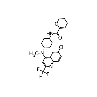 CN(c1cc(C(F)(F)F)nc2ccc(Cl)cc12)[C@H]1CC[C@@H](NC(=O)C2=CCCCO2)CC1